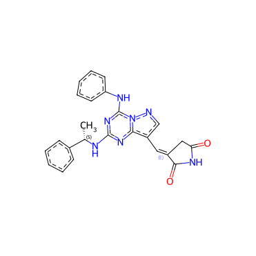 C[C@H](Nc1nc(Nc2ccccc2)n2ncc(/C=C3\CC(=O)NC3=O)c2n1)c1ccccc1